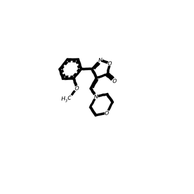 COc1ccccc1C1=NOC(=O)C1=CN1CCOCC1